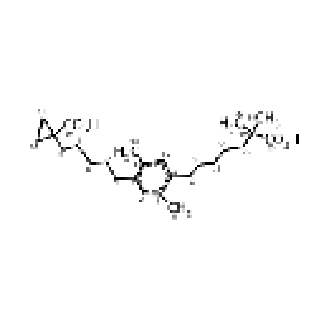 Cc1cc(CCCCCC2(C(=O)O)CC2)c(C)cc1CCCCCC(C)(C)C(=O)O